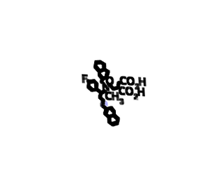 CC(C(C/C=C/c1ccc2ccccc2c1)c1ccc(F)cc1)N(Cc1ccc2ccccc2c1)C(=O)CC(CC(=O)O)C(=O)O